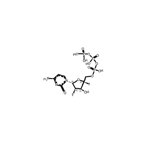 Nc1ccn([C@@H]2O[C@](F)(COP(=O)(O)OP(=O)(O)OP(=O)(O)O)[C@@H](O)[C@H]2F)c(=O)n1